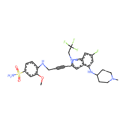 COc1cc(S(N)(=O)=O)ccc1NCC#Cc1cc2c(NC3CCN(C)CC3)cc(F)cc2n1CC(F)(F)F